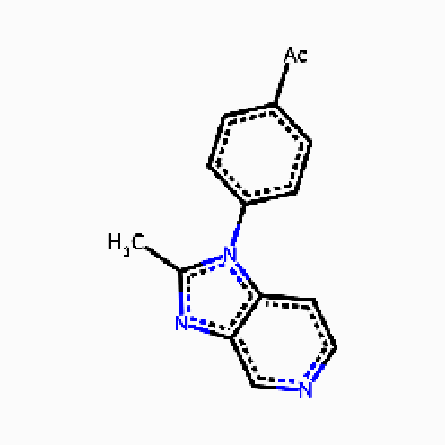 CC(=O)c1ccc(-n2c(C)nc3cnccc32)cc1